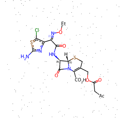 CCO/N=C(\C(=O)N[C@@H]1C(=O)N2C(C(=O)O)=C(COC(=O)CC(C)=O)CS[C@@H]12)c1nc(N)sc1Cl